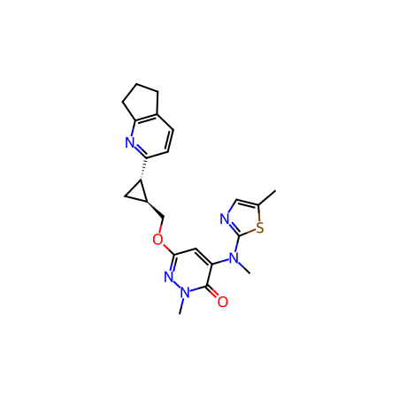 Cc1cnc(N(C)c2cc(OC[C@H]3C[C@@H]3c3ccc4c(n3)CCC4)nn(C)c2=O)s1